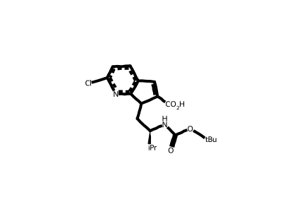 CC(C)[C@@H](CC1C(C(=O)O)=Cc2ccc(Cl)nc21)NC(=O)OC(C)(C)C